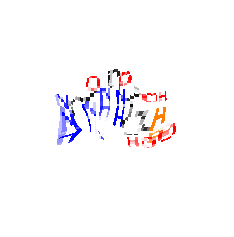 CC(C)[C@@H](NC(=O)[C@@H](N)Cc1c[nH]cn1)C(=O)NC(C1CCCC(C[PH](=O)O)C1)[C@H](C)O